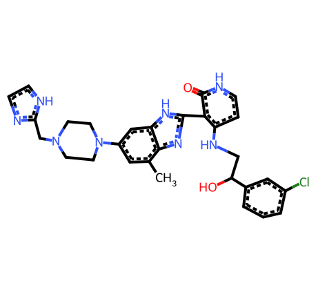 Cc1cc(N2CCN(Cc3ncc[nH]3)CC2)cc2[nH]c(-c3c(NCC(O)c4cccc(Cl)c4)cc[nH]c3=O)nc12